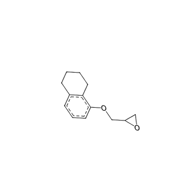 c1cc2c(c(OCC3CO3)c1)CCCC2